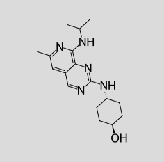 Cc1cc2cnc(N[C@H]3CC[C@H](O)CC3)nc2c(NC(C)C)n1